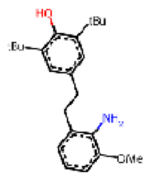 COc1cccc(CCc2cc(C(C)(C)C)c(O)c(C(C)(C)C)c2)c1N